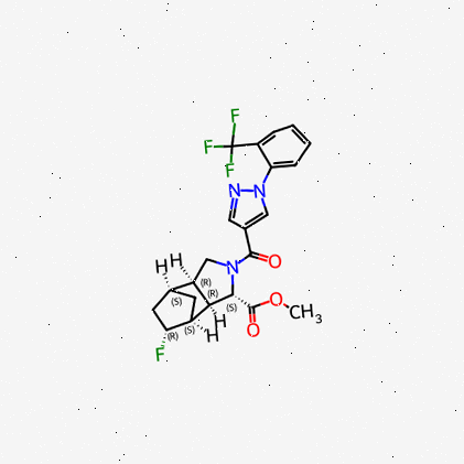 COC(=O)[C@@H]1[C@@H]2[C@H](CN1C(=O)c1cnn(-c3ccccc3C(F)(F)F)c1)[C@H]1C[C@@H]2[C@H](F)C1